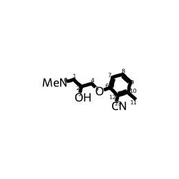 CNCC(O)COc1cccc(C)c1C#N